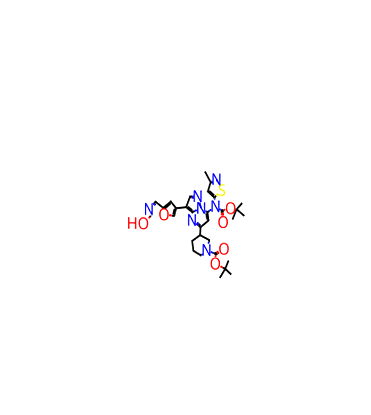 Cc1cc(N(C(=O)OC(C)(C)C)c2cc(C3CCCN(C(=O)OC(C)(C)C)C3)nc3c(-c4coc(/C=N\CO)c4)cnn23)sn1